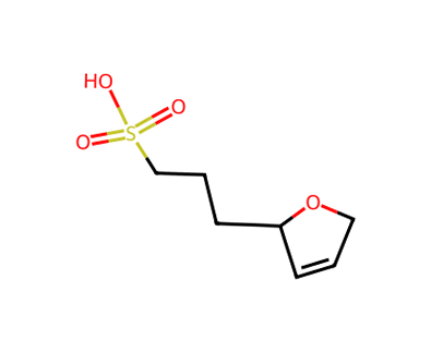 O=S(=O)(O)CCCC1C=CCO1